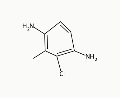 Cc1c(N)ccc(N)c1Cl